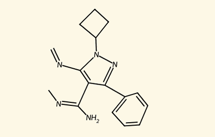 C=Nc1c(/C(N)=N\C)c(-c2ccccc2)nn1C1CCC1